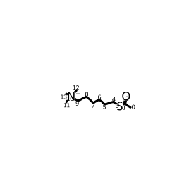 CC(=O)SCCCCCC[N+](C)(C)C